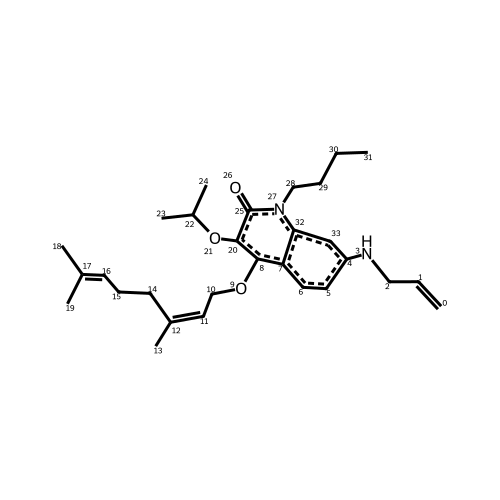 C=CCNc1ccc2c(OCC=C(C)CCC=C(C)C)c(OC(C)C)c(=O)n(CCCC)c2c1